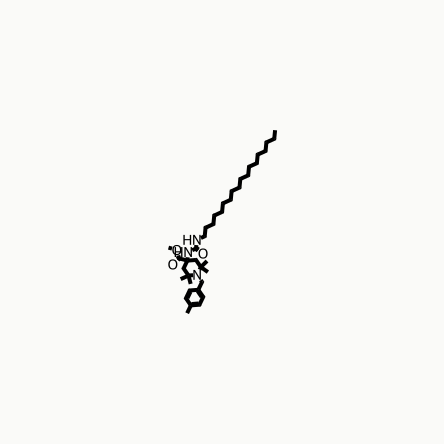 CCCCCCCCCCCCCCCCCCNC(=O)NC1(C(=O)OC)CC(C)(C)N(Cc2ccc(C)cc2)C(C)(C)C1